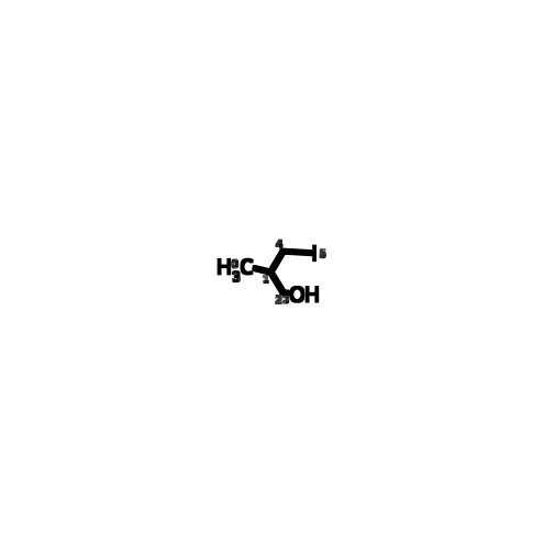 CC(CO)CI